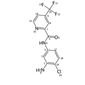 Nc1cc(NC(=O)c2cc(C(F)(F)F)ccn2)ccc1Cl